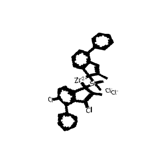 CC1=Cc2c(-c3ccccc3)cccc2[C]12[Zr+2][C]1(C(C)=C(Cl)c3c1ccc(Cl)c3-c1ccccc1)[Si]2(C)C.[Cl-].[Cl-]